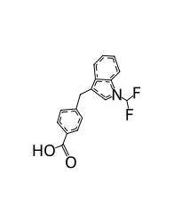 O=C(O)c1ccc(Cc2cn(C(F)F)c3ccccc23)cc1